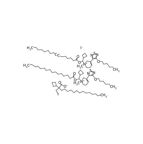 CCCCCCCCCCCCCCC(CI)(C(=O)[O-])C1CCC1.CCCCCCCCCCCCCCCC(=O)OC(C1CCC1)[N+]1(C)CCC=C(c2nsnc2OCCCCCC)C1.CCCCCCCCCCCCCCCC(=O)OC(C1CCC1)[N+]1(C)CCC=C(c2nsnc2OCCCCCC)C1.[I-]